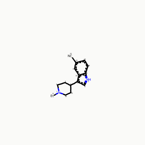 CCN1CCC(c2c[nH]c3ccc(C#N)cc23)CC1